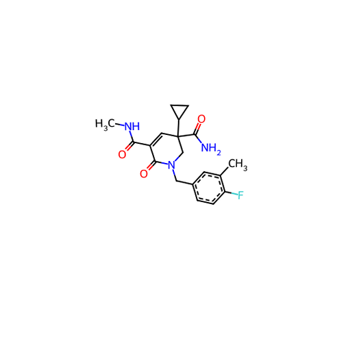 CNC(=O)C1=CC(C(N)=O)(C2CC2)CN(Cc2ccc(F)c(C)c2)C1=O